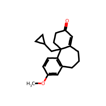 COc1ccc2c(c1)CCCC1=CC(=O)CCC12CC1CC1